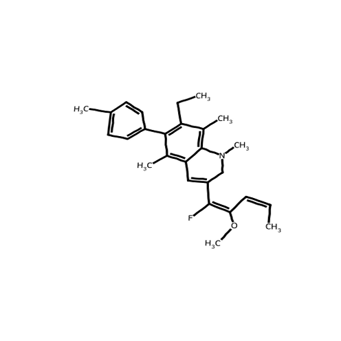 C/C=C\C(OC)=C(\F)C1=Cc2c(C)c(-c3ccc(C)cc3)c(CC)c(C)c2N(C)C1